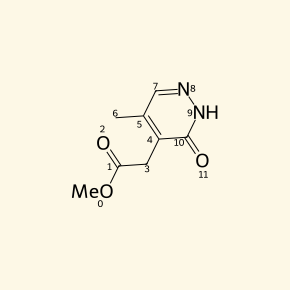 COC(=O)Cc1c(C)cn[nH]c1=O